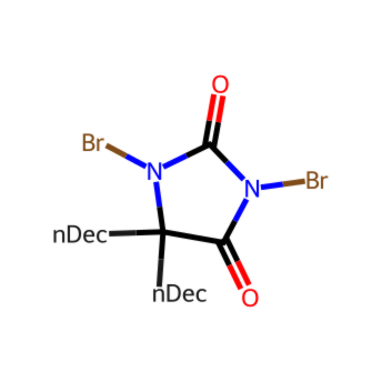 CCCCCCCCCCC1(CCCCCCCCCC)C(=O)N(Br)C(=O)N1Br